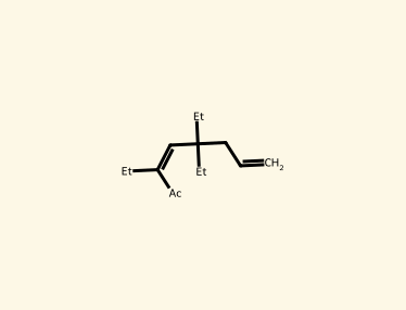 C=CCC(C=C(CC)C(C)=O)(CC)CC